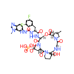 C[C@@H]1C[C@H]2C(=O)O[C@@H](C)[C@H](NC(=O)[C@H](Cc3cc(F)cc(F)c3)NC(=O)Nc3ccc4ncn(C)c4c3)C(=O)N3C[C@H](OP(=O)(O)O)C[C@H]3C(=O)N3CCCC[C@H]3C(O)N[C@@H](C)C(=O)N2C1